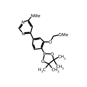 CNc1cc(-c2ccc(B3OC(C)(C)C(C)(C)O3)c(OCOC)c2)ncn1